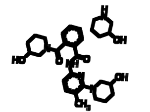 Cc1ccc(NC(=O)c2ccccc2C(=O)N2CCCC(O)C2)nc1N1CCCC(O)C1.OC1CCCNC1